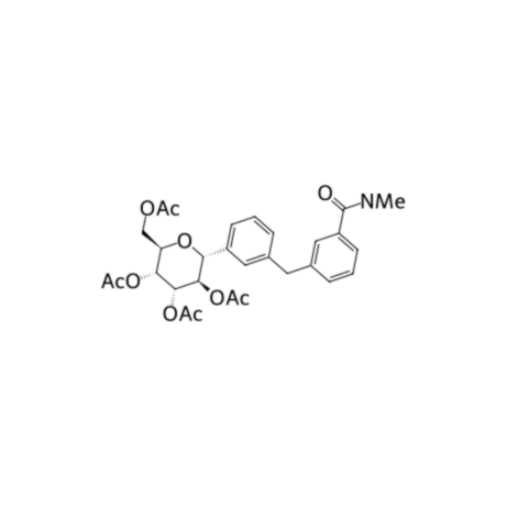 CNC(=O)c1cccc(Cc2cccc([C@H]3O[C@H](COC(C)=O)[C@@H](OC(C)=O)[C@@H](OC(C)=O)[C@@H]3OC(C)=O)c2)c1